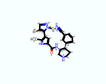 Cc1[nH]c(C(=O)N[C@H]2CNCC[C@@H]2c2cccc(C#N)c2)cc1-c1c(Br)cnn1C